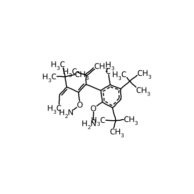 C=C(C)/C(=C(ON)\C(=C/C)C(C)(C)C)c1c(C)c(C(C)(C)C)cc(C(C)(C)C)c1ON